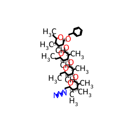 CCC1O[C@H](OCc2ccccc2)C(O[C@H]2OC(CC)[C@@H](C)[C@H](O[C@H]3OC(CC)[C@@H](C)[C@H](O[C@H]4OC(CN=[N+]=[N-])[C@@H](C)[C@H](C)C4C)C3C)C2C)[C@@H](C)[C@@H]1C